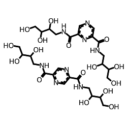 O=C(NCC(O)C(O)CO)c1cnc(C(=O)NCC(O)C(O)CO)cn1.O=C(NCC(O)C(O)CO)c1cncc(C(=O)NCC(O)C(O)CO)n1